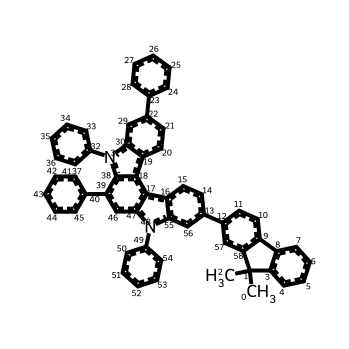 CC1(C)c2ccccc2-c2ccc(-c3ccc4c5c6c7ccc(-c8ccccc8)cc7n(-c7ccccc7)c6c(-c6ccccc6)cc5n(-c5ccccc5)c4c3)cc21